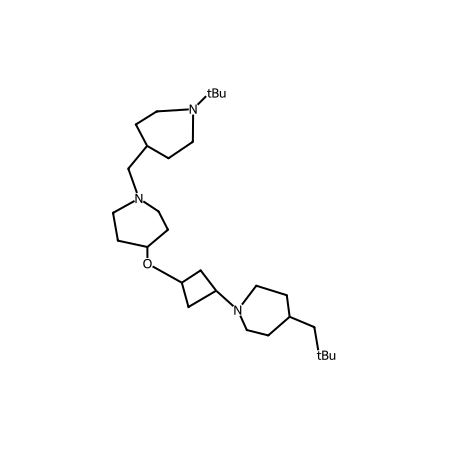 CC(C)(C)CC1CCN(C2CC(OC3CCN(CC4CCN(C(C)(C)C)CC4)CC3)C2)CC1